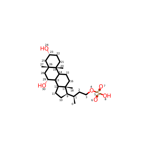 C[C@H](CCOS(=O)(=O)O)[C@H]1CCC2C3C(CC[C@@]21C)[C@@]1(C)CC[C@@H](O)C[C@@]1(C)C[C@H]3O